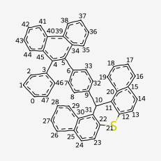 c1ccc(-c2c(-c3ccc(C4c5c(ccc6ccccc56)Sc5ccc6ccccc6c54)cc3)c3ccccc3c3ccccc23)cc1